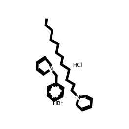 Br.C1=CCN(Cc2ccccc2)C=C1.CCCCCCCCCCCCN1C=CC=CC1.Cl